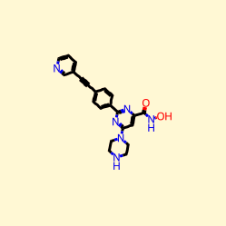 O=C(NO)c1cc(N2CCNCC2)nc(-c2ccc(C#Cc3cccnc3)cc2)n1